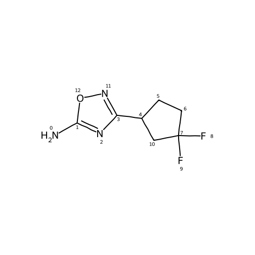 Nc1nc(C2CCC(F)(F)C2)no1